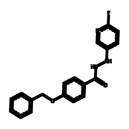 O=C(NNc1ccc(F)nc1)c1ccc(OCc2ccccc2)cc1